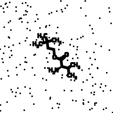 CC(C)[C@H](N)C(=O)OCCC(C)(C)C